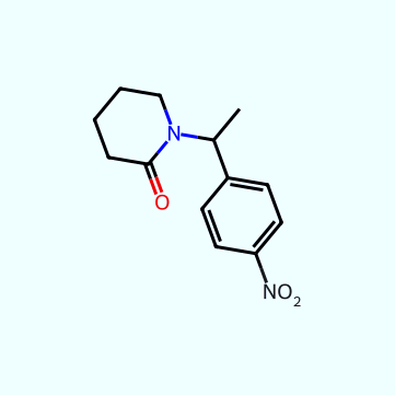 CC(c1ccc([N+](=O)[O-])cc1)N1CCCCC1=O